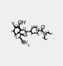 CCN(CC)C(=O)N1CCC([C@@H]2Cc3c(ccc(C)c3O)[C@H](CN)O2)CC1